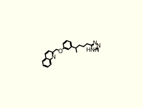 CC(CCCc1nnn[nH]1)c1cccc(OCc2ccc3ccccc3n2)c1